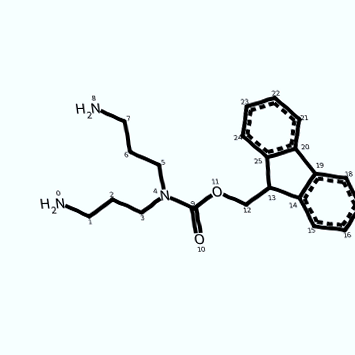 NCCCN(CCCN)C(=O)OCC1c2ccccc2-c2ccccc21